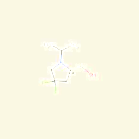 CC(C)N1CC(F)(F)C[C@H]1CO